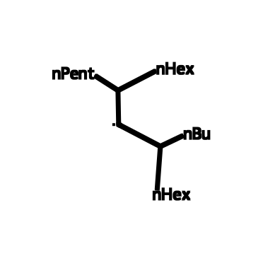 CCCCCCC([CH]C(CCCCC)CCCCCC)CCCC